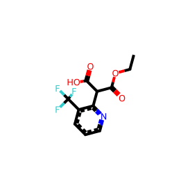 CCOC(=O)C(C(=O)O)c1ncccc1C(F)(F)F